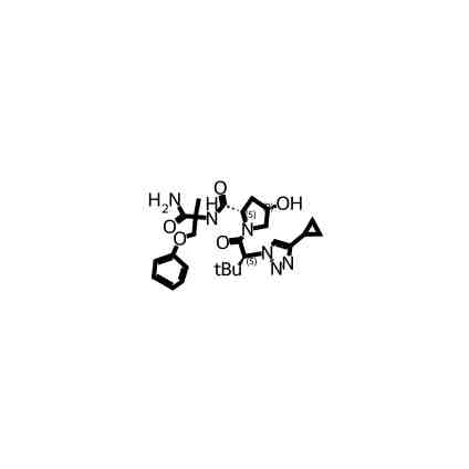 CC(COc1ccccc1)(NC(=O)[C@@H]1C[C@@H](O)CN1C(=O)[C@@H](n1cc(C2CC2)nn1)C(C)(C)C)C(N)=O